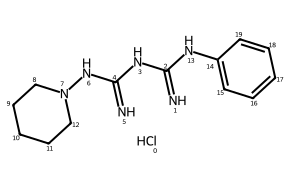 Cl.N=C(NC(=N)NN1CCCCC1)Nc1ccccc1